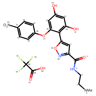 CNCCNC(=O)c1cc(-c2c(O)cc(O)cc2Oc2ccc([N+](=O)[O-])cc2)on1.O=C(O)C(F)(F)F